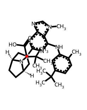 Cc1ccc(C(C)(C)C)cc1Nc1nc(N2C[C@H]3CC[C@@H](C2)N3C(C(=O)O)C(C)(C)C)nc2ncn(C)c12